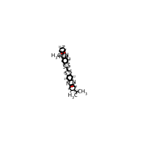 CC(C)C1CC2C=CC1c1nc3cc4c(cc3nc12)S/C(=C1/Sc2cc3nc5c(nc3cc2S1)C1C=CC5CC1(C)C)S4